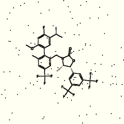 COc1cc(F)c(C(C)C)cc1-c1c(C)cc(C(F)(F)F)cc1CN1C(=O)O[C@H](c2cc(C(F)(F)F)cc(C(F)(F)F)c2)[C@@H]1C